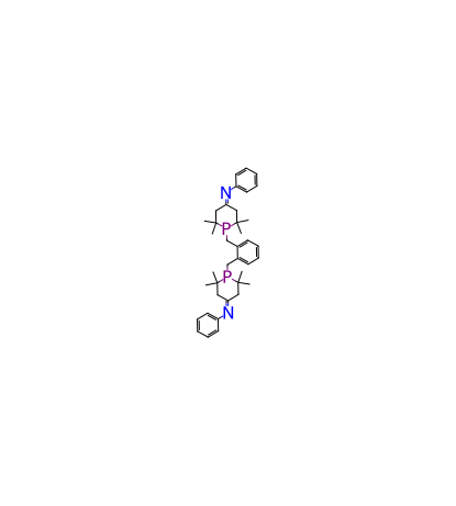 CC1(C)CC(=Nc2ccccc2)CC(C)(C)P1Cc1ccccc1CP1C(C)(C)CC(=Nc2ccccc2)CC1(C)C